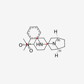 CC(C)C1CCC(N2[C@@H]3CC[C@H]2CC(Nc2ccccc2[N+](=O)[O-])C3)CC1